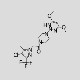 COC1=CC(OC)=NN(N2CCN(C(=O)Cn3nc(C(F)(F)F)c(Cl)c3C)CC2)N1